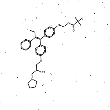 CC/C(=C(\c1ccc(OCOC(=O)C(C)(C)C)cc1)c1ccc(OCC(O)CN2CCCC2)cc1)c1ccccc1